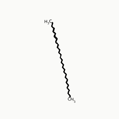 CCCCCCC=CCCCCCCCCCCCCCCCCCCCCCCC